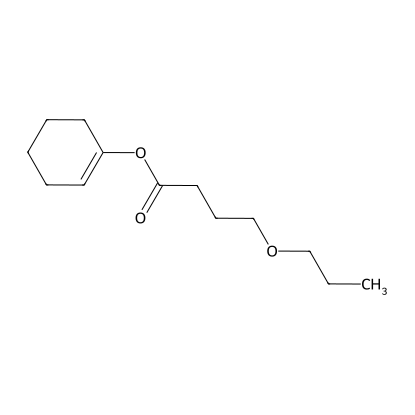 CCCOCCCC(=O)OC1=CCCCC1